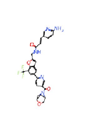 Nc1ccc(C=CC(=O)NCc2cc3cc(-c4ccc(C(=O)N5CC6CC5CO6)cn4)cc(C(F)(F)F)c3o2)cn1